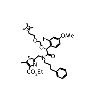 CCOC(=O)c1nc(CN(CCCc2ccccc2)C(=O)[C@H](OCOCC[Si](C)(C)C)c2ccc(OC)cc2F)sc1C